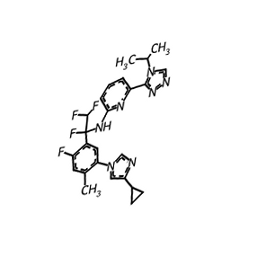 Cc1cc(F)c(C(F)(Nc2cccc(-c3nncn3C(C)C)n2)C(F)F)cc1-n1cnc(C2CC2)c1